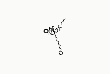 CCCCCCC(F)COC1=C(CCCCCCCCCC2CCCC2)C=NC(F)(c2ccccc2)N1F